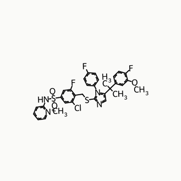 COc1cc(C(C)(C)c2cnc(SCc3c(F)cc(S(=O)(=O)Nc4cccc[n+]4C)cc3Cl)n2-c2ccc(F)cc2)ccc1F